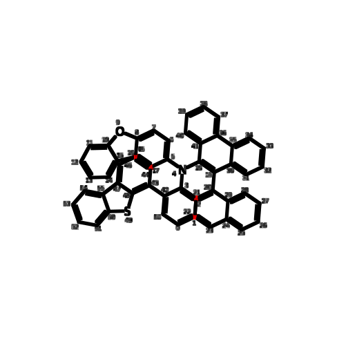 c1ccc(N(c2ccc3oc4ccccc4c3c2)c2c(-c3cccc4ccccc34)c3ccccc3c3ccccc23)c(-c2cccc3c2sc2ccccc23)c1